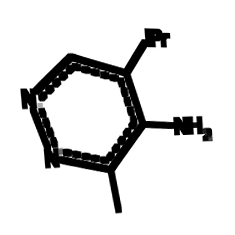 Cc1nncc(C(C)C)c1N